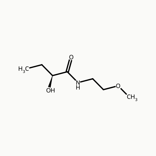 CC[C@H](O)C(=O)NCCOC